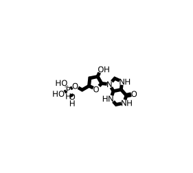 O=C1NCNC2C1NCN2C1OC(CO[PH](O)(O)O)CC1O